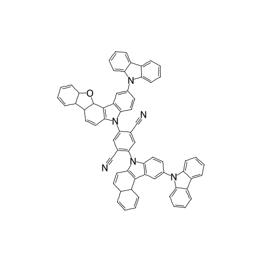 N#Cc1cc(-n2c3c(c4cc(-n5c6ccccc6c6ccccc65)ccc42)C2OC4C=CC=CC4C2C=C3)c(C#N)cc1-n1c2c(c3cc(-n4c5ccccc5c5ccccc54)ccc31)C1C=CC=CC1C=C2